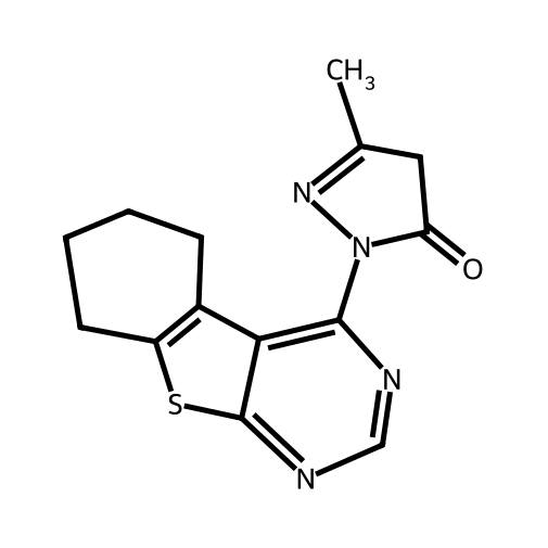 CC1=NN(c2ncnc3sc4c(c23)CCCC4)C(=O)C1